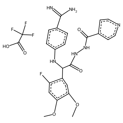 COc1cc(F)c(C(Nc2ccc(C(=N)N)cc2)C(=O)NNC(=O)c2ccncc2)cc1OC.O=C(O)C(F)(F)F